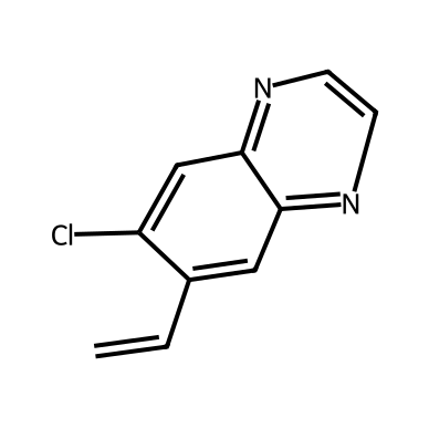 C=Cc1cc2nccnc2cc1Cl